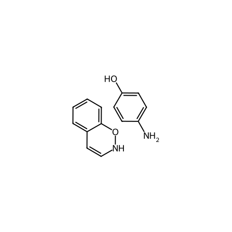 C1=Cc2ccccc2ON1.Nc1ccc(O)cc1